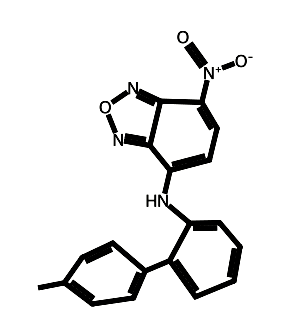 Cc1ccc(-c2ccccc2Nc2ccc([N+](=O)[O-])c3nonc23)cc1